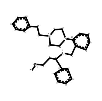 CNCCC(OCc1ccccc1N1CCN(CCc2ccccc2)CC1)c1ccccc1